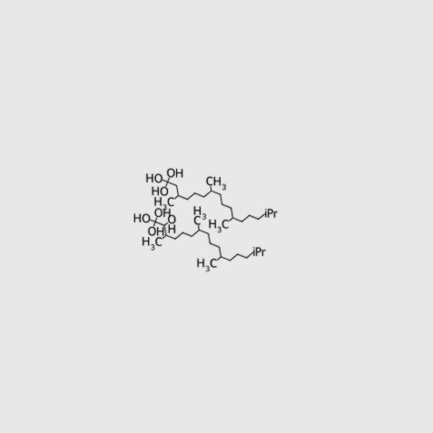 CC(C)CCCC(C)CCCC(C)CCCC(C)C(O)C(O)(O)O.CC(C)CCCC(C)CCCC(C)CCCC(C)CC(O)(O)O